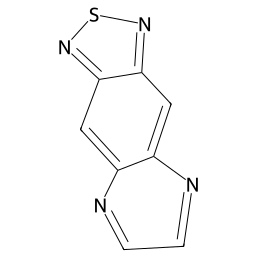 c1cnc2cc3nsnc3cc2n1